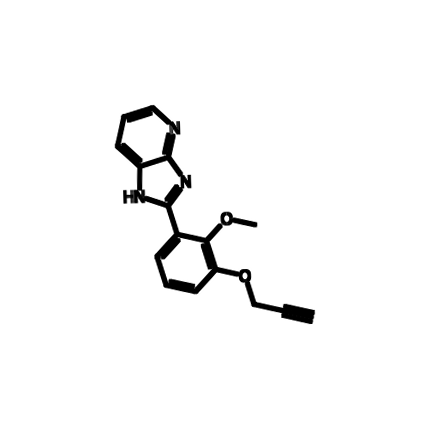 C#CCOc1cccc(-c2nc3ncccc3[nH]2)c1OC